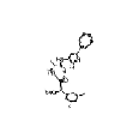 CC(NC(=O)C(O)c1cc(F)cc(F)c1)C(=O)Nc1cc(-c2ccccc2)n[nH]1